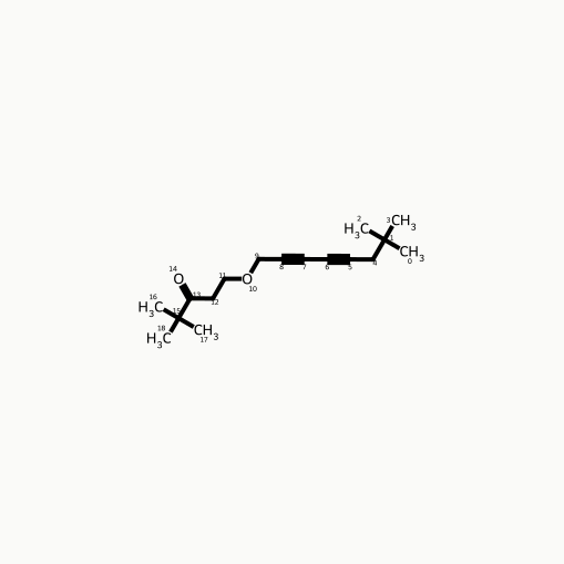 CC(C)(C)CC#CC#CCOCCC(=O)C(C)(C)C